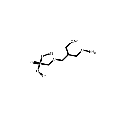 CCOP(=O)(COCC(CON)COC(C)=O)OCC